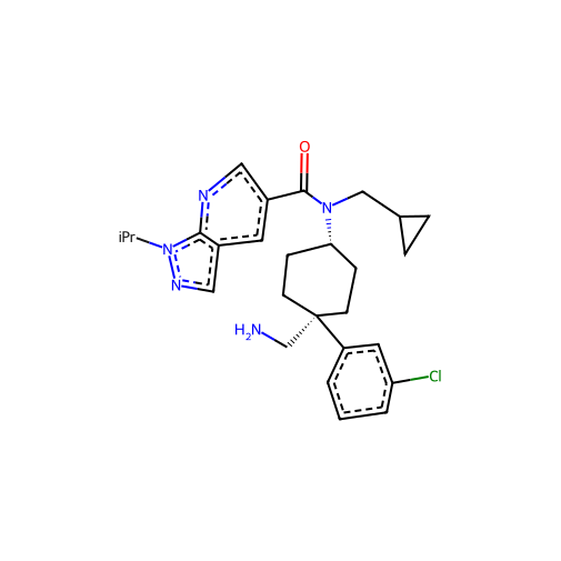 CC(C)n1ncc2cc(C(=O)N(CC3CC3)[C@H]3CC[C@](CN)(c4cccc(Cl)c4)CC3)cnc21